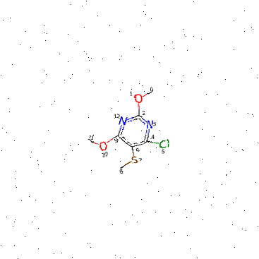 COc1nc(Cl)c(SC)c(OC)n1